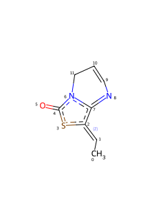 C/C=c1\sc(=O)n2c1=NC=CC2